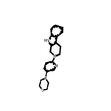 c1ccc2c3c([nH]c2c1)CN(c1ccc(N2CCOCC2)cn1)CC3